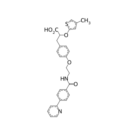 Cc1csc(OC(Cc2ccc(OCCNC(=O)c3ccc(-c4ccccn4)cc3)cc2)C(=O)O)c1